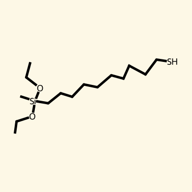 CCO[Si](C)(CCCCCCCCCCS)OCC